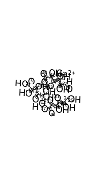 O=C(O)[C@@H](O)[C@@H](O)[C@H](O)[C@@H](O)C(=O)O[C@@H](C(=O)[O-])[C@@H](O)[C@H](O)[C@H](O)CO.O=C([O-])[C@H](O)[C@@H](O)[C@H](O)[C@H](O)CO.[Ca+2]